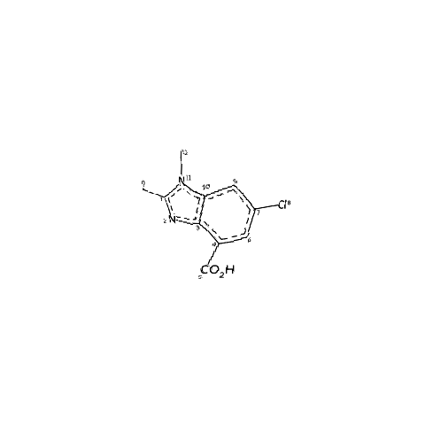 Cc1nc2c(C(=O)O)cc(Cl)cc2n1C